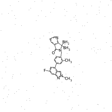 BC1(B)c2ncccc2C(=O)N1Cc1ccc(-c2cc(F)cc3nn(C)cc23)cc1C